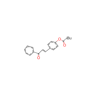 CCC(C)C(=O)Oc1ccc(C=CC(=O)c2ccccc2)cc1